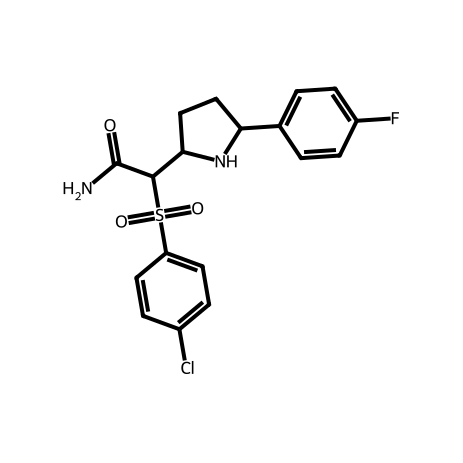 NC(=O)C(C1CCC(c2ccc(F)cc2)N1)S(=O)(=O)c1ccc(Cl)cc1